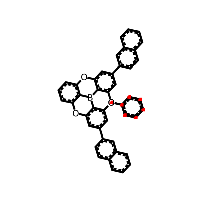 c1ccc(Oc2cc(-c3ccc4ccccc4c3)cc3c2B2c4c(Oc5ccccc5)cc(-c5ccc6ccccc6c5)cc4Oc4cccc(c42)O3)cc1